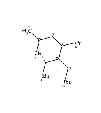 CCCC(CP(C)C)C(CC(C)(C)C)CC(C)(C)C